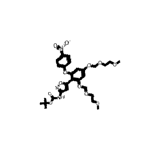 COCCOCOc1cc(OCOCCOC)c(-c2cc(NC(=O)OC(C)(C)C)no2)c(Oc2ccc([N+](=O)[O-])cc2)c1